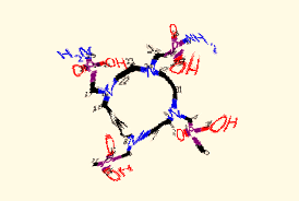 CP(=O)(O)CN1CCN(CP(C)(=O)O)CCN(CP(N)(=O)O)CCN(CP(N)(=O)O)CC1